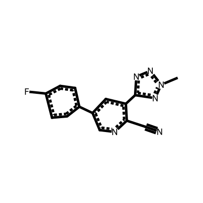 Cn1nnc(-c2cc(-c3ccc(F)cc3)cnc2C#N)n1